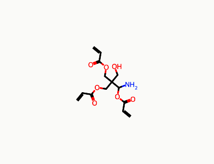 C=CC(=O)OCC(CO)(COC(=O)C=C)C(N)OC(=O)C=C